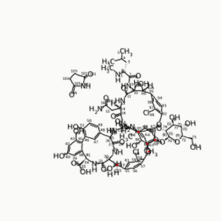 CN[C@H](CC(C)C)C(=O)N[C@H]1C(=O)N[C@@H](CC(N)=O)C(=O)N[C@H]2C(=O)N[C@H]3C(=O)N[C@H](C(=O)N[C@@H](C(=O)O)c4cc(O)cc(O)c4-c4cc3ccc4O)[C@H](O)c3ccc(c(Cl)c3)Oc3cc2cc(c3O[C@@H]2O[C@H](CO)[C@@H](O)[C@H](O)[C@H]2O[C@H]2C[C@](C)(N)C(O)[C@H](C)O2)Oc2ccc(cc2Cl)[C@H]1O.O=C1CCC(=O)N1